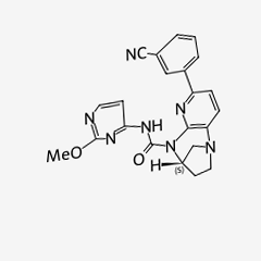 COc1nccc(NC(=O)N2c3nc(-c4cccc(C#N)c4)ccc3N3CC[C@H]2C3)n1